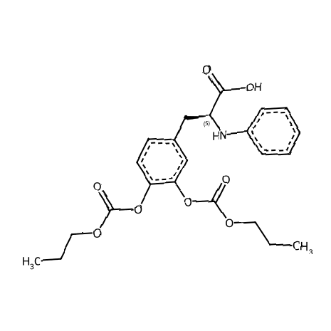 CCCOC(=O)Oc1ccc(C[C@H](Nc2ccccc2)C(=O)O)cc1OC(=O)OCCC